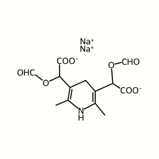 CC1=C(C(OC=O)C(=O)[O-])CC(C(OC=O)C(=O)[O-])=C(C)N1.[Na+].[Na+]